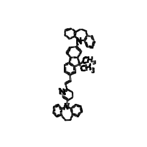 CC1(C)c2cc(/C=C/C3=NC=C(N4c5ccccc5CCc5ccccc54)CC3)ccc2C2C=CC(N3C4=C(C=CCC4)CCc4ccccc43)=CC21